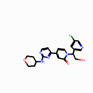 O=c1cc(-c2ccnc(NC3CCOCC3)n2)ccn1C(CO)c1cncc(Cl)c1